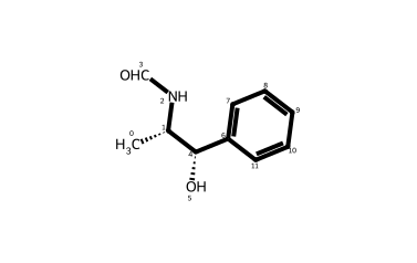 C[C@H](NC=O)[C@@H](O)c1ccccc1